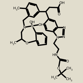 Cc1ccc(C(CC(=O)O)c2ccc3c(c2)nnn3CCNC(=O)OC(C)(C)C)cc1CN1CC(C)Oc2ccccc2S1(O)O